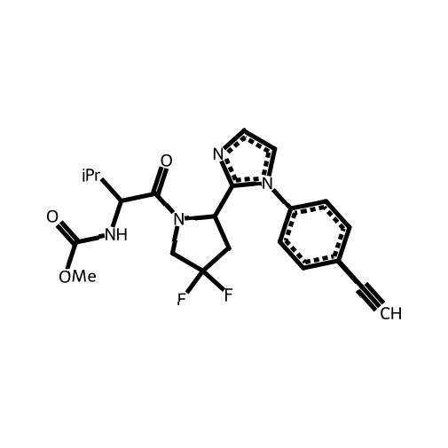 C#Cc1ccc(-n2ccnc2C2CC(F)(F)CN2C(=O)C(NC(=O)OC)C(C)C)cc1